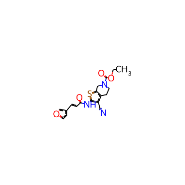 CCOC(=O)N1CCc2c(sc(NC(=O)/C=C/c3ccoc3)c2C#N)C1